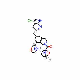 O=C(N1CCc2cc(Cc3cnc4[nH]cc(Cl)c4c3)cc([C@@H]3COCCN3)c2C1)N1C[C@@H]2CC[C@H]1CO2